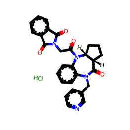 Cl.O=C1c2ccccc2C(=O)N1CC(=O)N1c2ccccc2N(Cc2cccnc2)C(=O)[C@H]2CCC[C@H]21